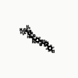 CC(C)(C)c1cc(NC(=O)Nc2ccc(NC(=O)c3csc(-c4ccc(Cl)cc4)n3)cc2)no1